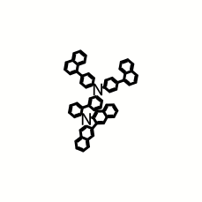 c1cc(-c2ccccc2-n2c3cc4ccccc4cc3c3cc4ccccc4cc32)cc(N(c2ccc(-c3cccc4ccccc34)cc2)c2ccc(-c3cccc4ccccc34)cc2)c1